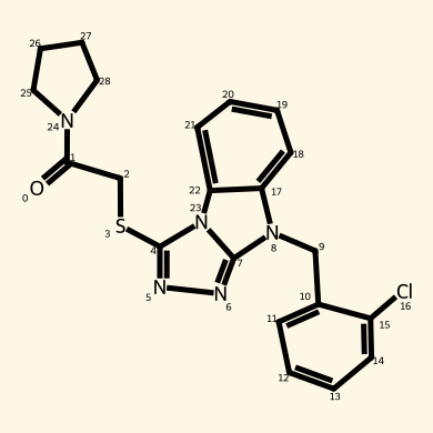 O=C(CSc1nnc2n(Cc3ccccc3Cl)c3ccccc3n12)N1CCCC1